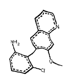 COc1cc2ncccc2cc1-c1c(N)cccc1Cl